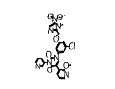 COc1ncccc1-c1cn(-c2cc(Cl)cc(OCc3ncc([N+](=O)[O-])n3C)c2)c(=O)n(-c2cccnc2)c1=O